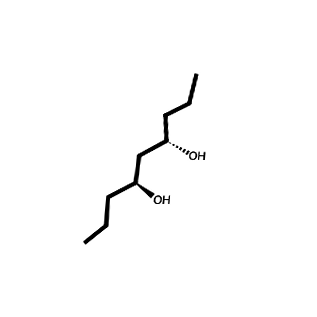 CCC[C@H](O)C[C@@H](O)CCC